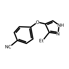 CCc1n[nH]cc1Oc1ccc(C#N)cc1